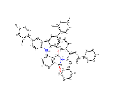 Cc1ccc(-c2ccc3c(c2)c2cc(-c4ccc(C)cc4C)ccc2n3-c2cccc3c2C(=O)N(c2c(-c4ccccc4)cc(-c4ccccc4)cc2-c2ccccc2)C3=O)c(C)c1